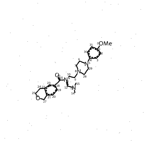 COc1ccc(N2CCN(CC[N+](=CN(C)C)C(=O)c3ccc4c(c3)CCOC4)CC2)cc1